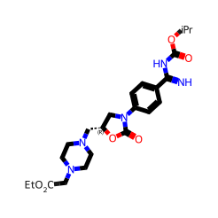 CCOC(=O)CN1CCN(C[C@@H]2CN(c3ccc(C(=N)NC(=O)OC(C)C)cc3)C(=O)O2)CC1